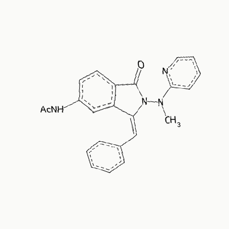 CC(=O)Nc1ccc2c(c1)C(=Cc1ccccc1)N(N(C)c1ccccn1)C2=O